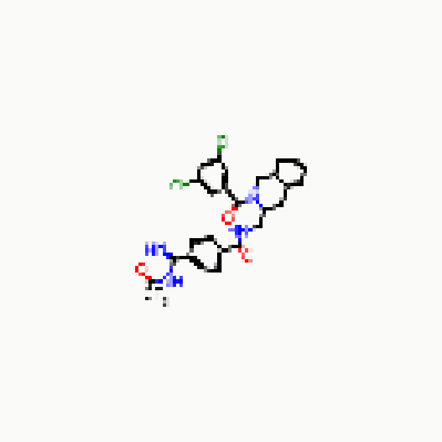 N=C(NC(=O)C(F)(F)F)c1ccc(C(=O)NCC2Cc3ccccc3CN2C(=O)c2cc(Cl)cc(Cl)c2)cc1